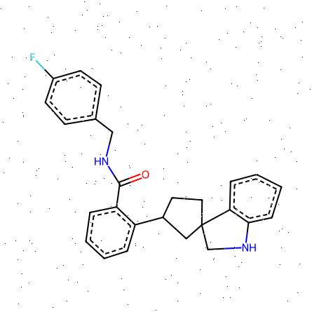 O=C(NCc1ccc(F)cc1)c1ccccc1C1CCC2(CNc3ccccc32)C1